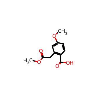 COC(=O)Cc1cc(OC)ccc1C(=O)O